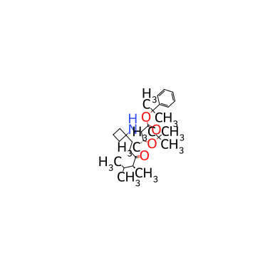 CC(C)[C@H](C)C(=O)CCC1(N[C@H](C(=O)OC(C)(C)c2ccccc2)[C@@H](C)OC(C)(C)C)CCC1